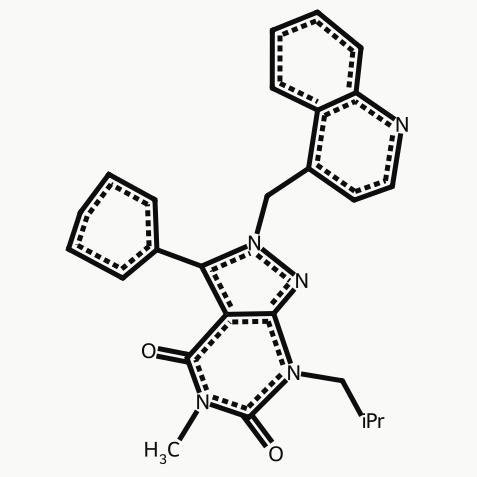 CC(C)Cn1c(=O)n(C)c(=O)c2c(-c3ccccc3)n(Cc3ccnc4ccccc34)nc21